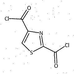 O=C(Cl)c1csc(C(=O)Cl)n1